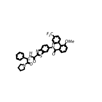 COc1cccc(C(=O)Nc2ccc3nc(C(=O)N[C@H](C(=O)N4CCCC4)c4ccccc4)sc3c2)c1-c1ccc(C(F)(F)F)cc1